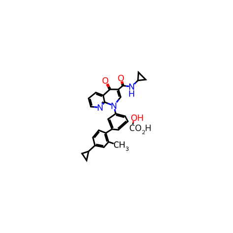 Cc1cc(C2CC2)ccc1-c1cccc(-n2cc(C(=O)NC3CC3)c(=O)c3cccnc32)c1.O=C(O)O